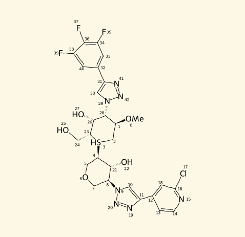 CO[C@H]1C[SH]([C@@H]2COC[C@H](n3cc(-c4ccnc(Cl)c4)nn3)[C@H]2O)[C@H](CO)[C@H](O)[C@@H]1n1cc(-c2cc(F)c(F)c(F)c2)nn1